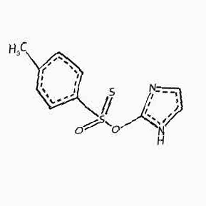 Cc1ccc(S(=O)(=S)Oc2ncc[nH]2)cc1